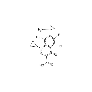 Cc1c(C2(N)CC2)c(F)cn2c(=O)c(C(=O)O)cc(C3CC3)c12.Cl